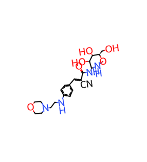 N#C/C(=C\c1ccc(NCCN2CCOCC2)cc1)C(=O)N[C@H]1NO[C@H](CO)[C@@H](O)[C@@H]1O